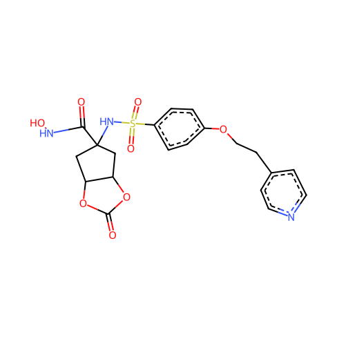 O=C1OC2CC(NS(=O)(=O)c3ccc(OCCc4ccncc4)cc3)(C(=O)NO)CC2O1